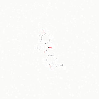 CC1(C(=O)OC2CCC3(C)OC3C2)CCC2OC2C1